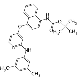 Cc1cc(C)cc(Nc2cc(Oc3ccc(NC(=O)OC(C)(C)C)c4ccccc34)ccn2)c1